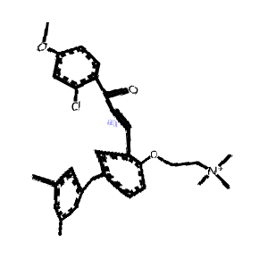 COc1ccc(C(=O)/C=C/c2cc(-c3cc(C)cc(C)c3)ccc2OCC[N+](C)(C)C)c(Cl)c1